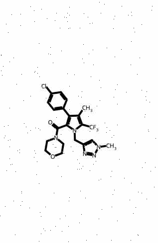 Cc1c(-c2ccc(Cl)cc2)c(C(=O)N2CCOCC2)n(Cc2cn(C)nn2)c1C(F)(F)F